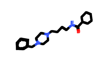 O=C(NCCCCN1CCN(Cc2ccccc2)CC1)C1CCCCC1